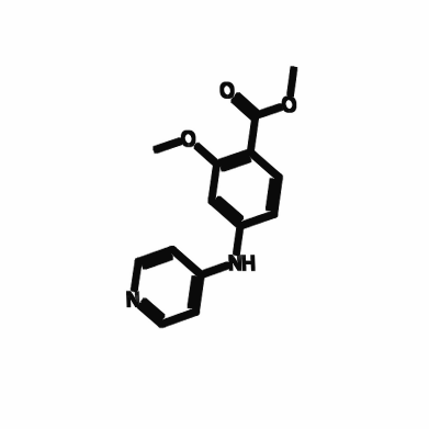 COC(=O)c1ccc(Nc2ccncc2)cc1OC